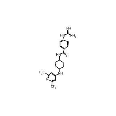 N=C(N)Nc1ccc(C(=O)NC2CCC(Nc3cc(C(F)(F)F)nc(C(F)(F)F)c3)CC2)cc1